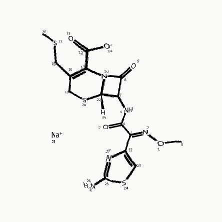 CON=C(C(=O)NC1C(=O)N2C(C(=O)[O-])=C(CSC)CS[C@@H]12)c1csc(N)n1.[Na+]